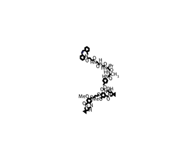 COc1cc2c(cc1OCCCOc1cc3c(cc1OC)C(=O)N1CC4(CC4)C[C@H]1C(O)N3C(=O)OCc1ccc(NC(=O)[C@H](C)NC(=O)[C@@H](NC(=O)CNC(=O)CNC(=O)CCC(=O)N3Cc4ccccc4/C=C\c4ccccc43)C(C)C)cc1)N=C[C@@H]1CC3(CC3)CN1C2=O